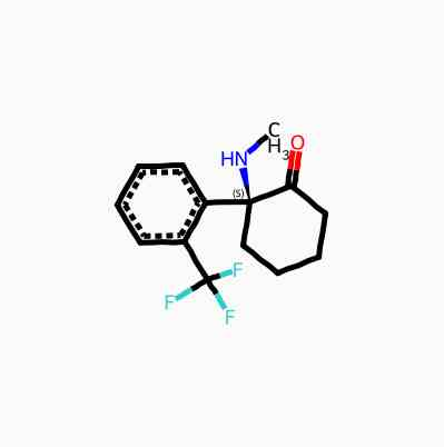 CN[C@]1(c2ccccc2C(F)(F)F)CCCCC1=O